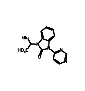 CC(C)(C)C(C(=O)O)n1c(=O)n(-c2ccncn2)c2ccccc21